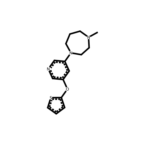 CN1CCCN(c2cncc(Oc3cccs3)c2)CC1